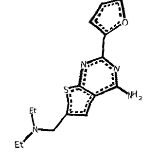 CCN(CC)Cc1cc2c(N)nc(-c3ccco3)nc2s1